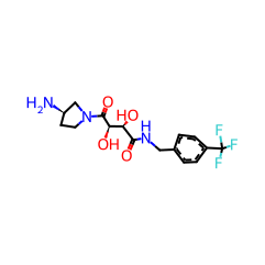 N[C@@H]1CCN(C(=O)[C@H](O)[C@@H](O)C(=O)NCc2ccc(C(F)(F)F)cc2)C1